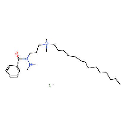 CCCCCCCCCCCCCC[N+](C)(C)CCCN(C(=O)c1ccccc1)N(C)C.[Cl-]